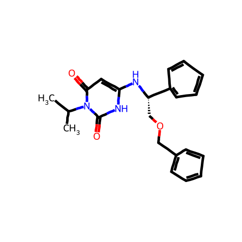 CC(C)n1c(=O)cc(N[C@@H](COCc2ccccc2)c2ccccc2)[nH]c1=O